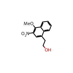 COc1c([N+](=O)[O-])cc(CCO)c2ccccc12